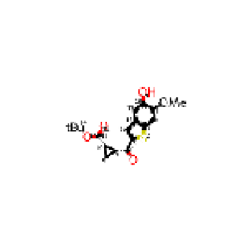 COc1cc2sc(C(=O)[C@@H]3C[C@@H]3C(=O)OC(C)(C)C)cc2cc1O